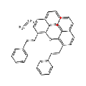 C(=Cc1ccc2ccccc2c1Oc1c(C=Cc2ccccc2)ccc2ccccc12)c1ccccc1.C=C